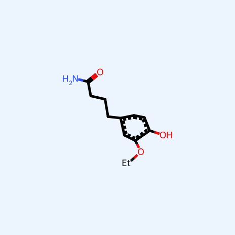 CCOc1cc(CCCC(N)=O)ccc1O